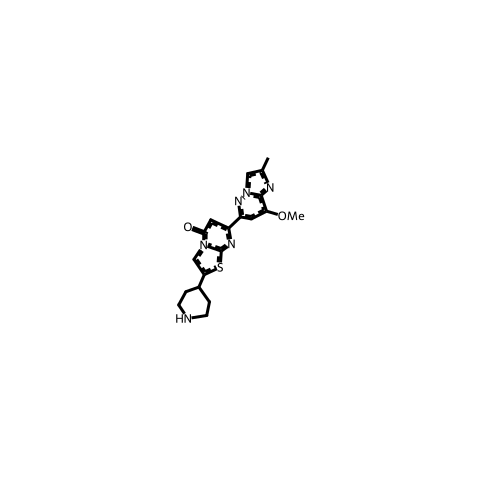 COc1cc(-c2cc(=O)n3cc(C4CCNCC4)sc3n2)nn2cc(C)nc12